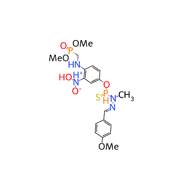 COc1ccc(/C=N/N(C)[PH](=S)Oc2ccc(NCP(=O)(OC)OC)c([NH+]([O-])O)c2)cc1